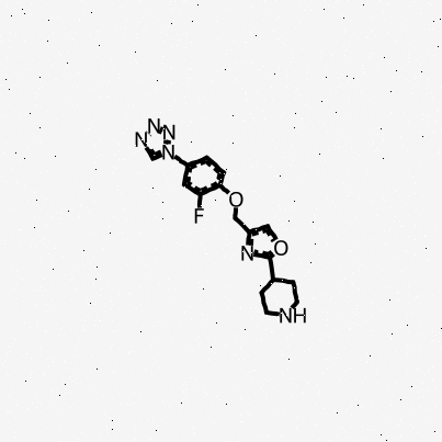 Fc1cc(-n2cnnn2)ccc1OCc1coc(C2CCNCC2)n1